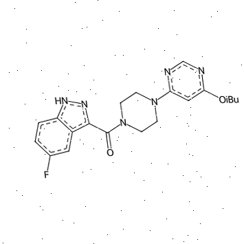 CC(C)COc1cc(N2CCN(C(=O)c3n[nH]c4ccc(F)cc34)CC2)ncn1